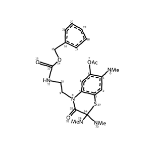 CNc1cc2c(cc1OC(C)=O)N(CCNC(=O)OCc1ccccc1)C(=O)C(NC)(NC)S2